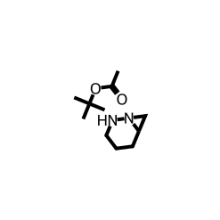 C1CNN2CC2C1.CC(=O)OC(C)(C)C